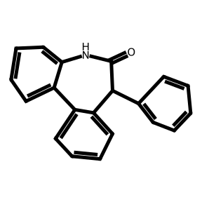 O=C1Nc2ccccc2-c2ccccc2C1c1ccccc1